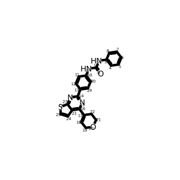 O=C(Nc1ccccc1)Nc1ccc(-c2nc(C3=CCOCC3)c3ccsc3n2)cc1